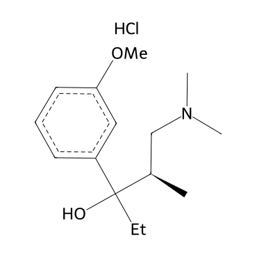 CCC(O)(c1cccc(OC)c1)[C@H](C)CN(C)C.Cl